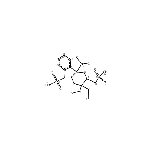 CCC1(CC)CCC(c2ccccc2CS(=O)(=O)O)(N(C)C)CC1CS(=O)(=O)O